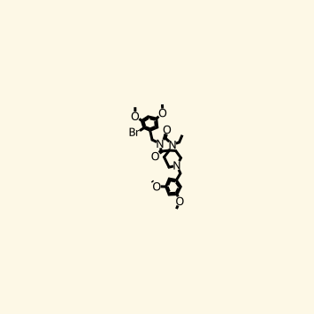 CCN1C(=O)N(Cc2cc(OC)cc(OC)c2Br)C(=O)C12CCN(Cc1cc(OC)cc(OC)c1)CC2